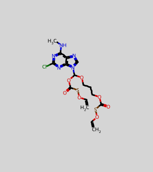 C=COSC(=O)OCCCOC(OC(=O)SOC=C)n1cnc2c(NC)nc(Cl)nc21